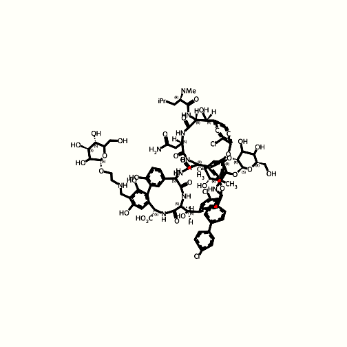 CN[C@H](CC(C)C)C(=O)N[C@H]1C(=O)N[C@@H](CC(N)=O)C(=O)N[C@H]2C(=O)N[C@@H]3C(=O)N[C@H](C(=O)N[C@H](C(=O)O)c4cc(O)c(CNCCO[C@H]5OC(CO)[C@@H](O)[C@H](O)C5O)c(O)c4-c4cc3ccc4O)[C@H](O)c3ccc(c(Cl)c3)Oc3cc2cc(c3O[C@@H]2O[C@H](CO)C(O)C(O)[C@H]2O[C@@H]2C[C@@H](C)[C@@H](O)C(C)(NCc3ccc(-c4ccc(Cl)cc4)cc3)C2)Oc2ccc(cc2Cl)[C@H]1O